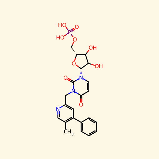 Cc1cnc(Cn2c(=O)ccn([C@@H]3O[C@H](COP(=O)(O)O)C(O)C3O)c2=O)cc1-c1ccccc1